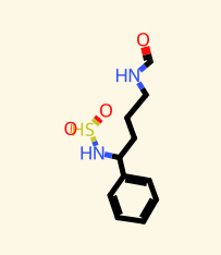 O=CNCCCC(N[SH](=O)=O)c1ccccc1